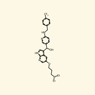 CCN(CC)CCCOc1cnc2[nH]cc(C(O)c3ccc(NCc4ccc(C(F)(F)F)cc4)nc3)c2c1